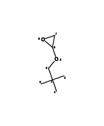 CC(C)(C)COC1CO1